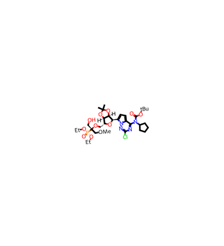 CCOP(=O)(OCC)[C@@](CO)(COC)OC[C@H]1O[C@H](c2ccc3c(N(C(=O)OC(C)(C)C)C4CCCC4)nc(Cl)nn23)[C@@H]2OC(C)(C)O[C@@H]21